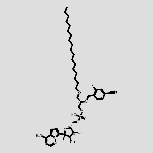 CCCCCCCCCCCCCCCCCCOC[C@H](COP(=O)(O)OC[C@H]1O[C@@](C)(c2ccc3c(N)ncnn23)[C@H](O)[C@@H]1O)OCc1ccc(C#N)cc1F